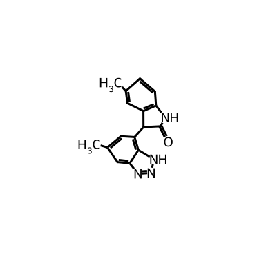 Cc1ccc2c(c1)C(c1cc(C)cc3nn[nH]c13)C(=O)N2